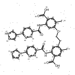 O=C(Nc1cc(OCCc2cc(NC(=O)c3ccc(-n4ccnc4)nn3)c(C(=O)O)cc2F)c(F)cc1C(=O)O)c1ccc(-c2cn[nH]c2)nn1